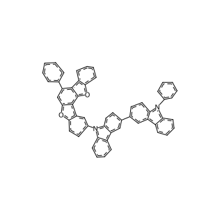 c1ccc(-c2cc3oc4ccc(-n5c6ccccc6c6cc(-c7ccc8c(c7)c7ccccc7n8-c7ccccc7)ccc65)cc4c3c3oc4ccccc4c23)cc1